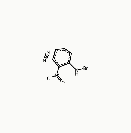 N#N.O=[N+]([O-])c1ccccc1NBr